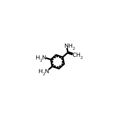 C=C(N)c1ccc(N)c(N)c1